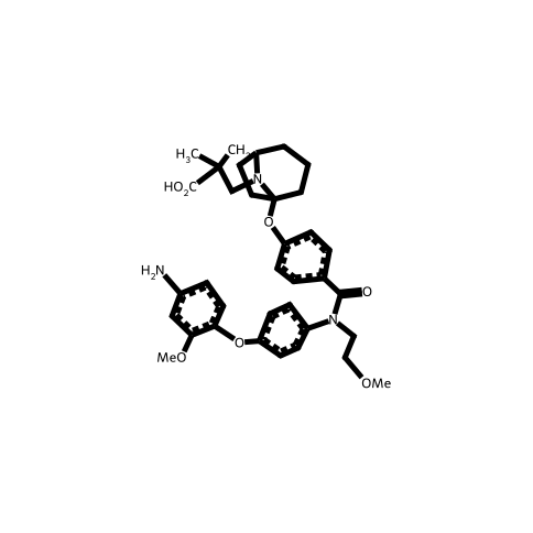 COCCN(C(=O)c1ccc(OC23CCCC(CC2)N3CC(C)(C)C(=O)O)cc1)c1ccc(Oc2ccc(N)cc2OC)cc1